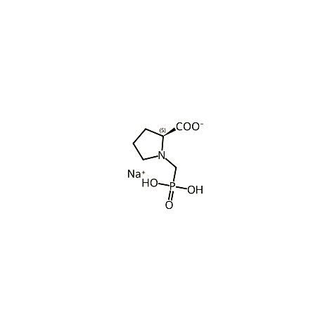 O=C([O-])[C@@H]1CCCN1CP(=O)(O)O.[Na+]